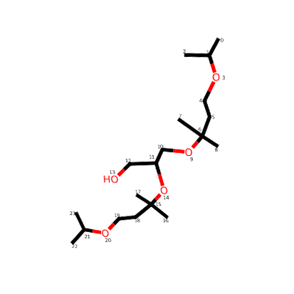 CC(C)OCCC(C)(C)OCC(CO)OC(C)(C)CCOC(C)C